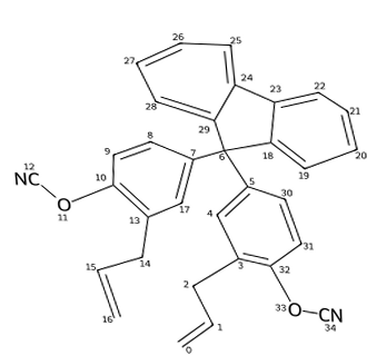 C=CCc1cc(C2(c3ccc(OC#N)c(CC=C)c3)c3ccccc3-c3ccccc32)ccc1OC#N